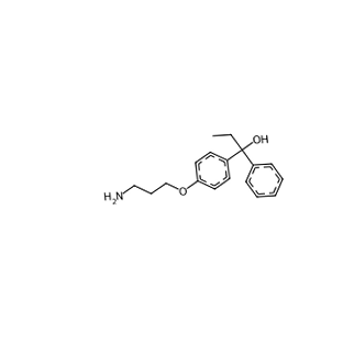 CCC(O)(c1ccccc1)c1ccc(OCCCN)cc1